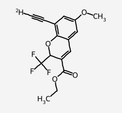 [2H]C#Cc1cc(OC)cc2c1OC(C(F)(F)F)C(C(=O)OCC)=C2